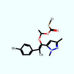 CCSC(=O)OC(C)O/C(=C(/C#N)c1ccc(C(C)(C)C)cc1)c1cc(C)nn1C